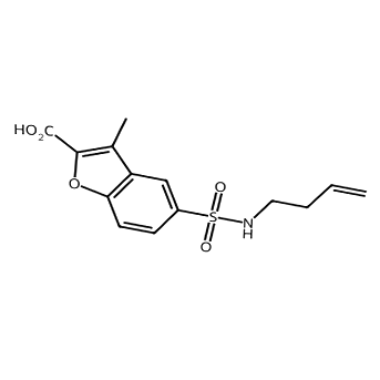 C=CCCNS(=O)(=O)c1ccc2oc(C(=O)O)c(C)c2c1